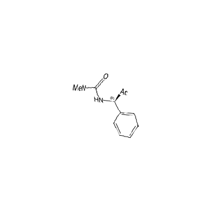 CNC(=O)N[C@@H](C(C)=O)c1ccccc1